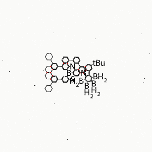 Bc1c(B)c(B)c2c(c1B)c1cc(C(C)(C)C)ccc1n2-c1cc2c3c(c1)N(c1c(-c4ccccc4)cccc1-c1ccccc1)c1ccc(-c4cc(C5CCCCC5)cc(C5CCCCC5)c4)cc1B3c1cc(-c3cc(C4CCCCC4)cc(C4CCCCC4)c3)ccc1S2